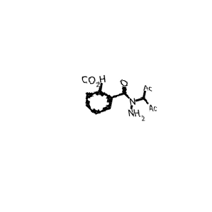 CC(=O)C(C(C)=O)N(N)C(=O)c1ccccc1C(=O)O